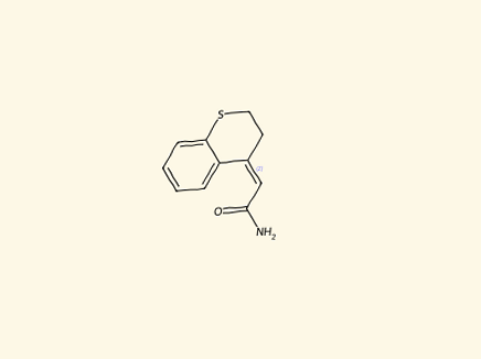 NC(=O)/C=C1/CCSc2ccccc21